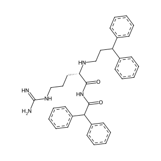 N=C(N)NCCC[C@H](NCCC(c1ccccc1)c1ccccc1)C(=O)NC(=O)C(c1ccccc1)c1ccccc1